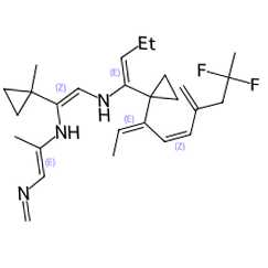 C=N/C=C(\C)N/C(=C\N/C(=C/CC)C1(C(/C=C\C(=C)CC(C)(F)F)=C/C)CC1)C1(C)CC1